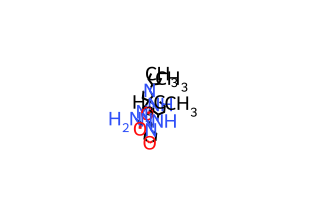 CCC(CC)N1CCC(C#N)(NC(=O)C(CC(C)C)NC(=NC(N)=O)N2CCOCC2)C1